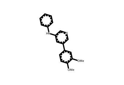 COc1ccc(-c2cncc(Nc3ccccc3)c2)cc1OC